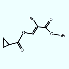 CCCOC(=O)C(Br)=COC(=O)C1CC1